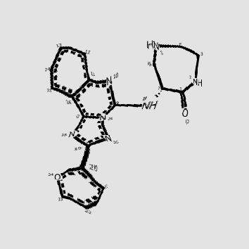 O=C1NCCNC[C@H]1Nc1nc2ccccc2c2nc(-c3ccco3)nn12